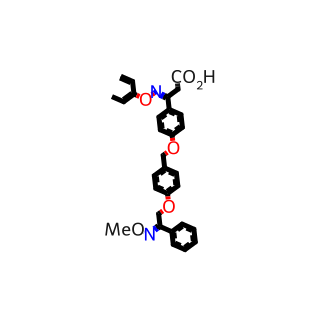 C=C/C(=C\C)O/N=C(/CC(=O)O)c1ccc(OCc2ccc(OC/C(=N\OC)c3ccccc3)cc2)cc1